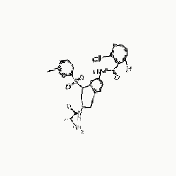 Cc1cccc(S(=O)(=O)C2C[C@H](NC(=O)[C@@H](C)N)Cc3ccc(NC(=O)c4c(Cl)cccc4Cl)cc32)c1